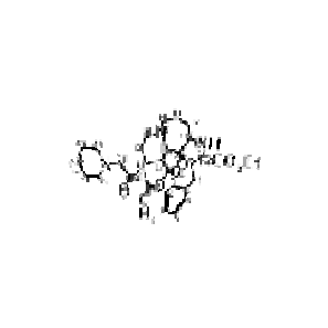 CCOC(=O)[C@H](CCc1ccccc1)NC1CCCN2CCCC(C(=O)O[C@@H](C)OC(=O)CN3CCOCC3)N2C1=O